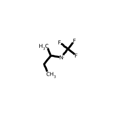 CCC(C)[N]C(F)(F)F